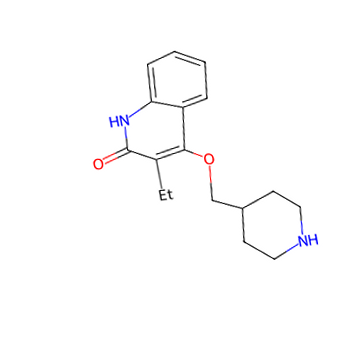 CCc1c(OCC2CCNCC2)c2ccccc2[nH]c1=O